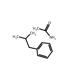 CC(C)Cc1ccccc1.CC(N)=O